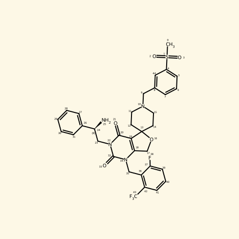 CS(=O)(=O)c1cccc(CN2CCC3(CC2)OCc2c3c(=O)n(C[C@H](N)c3ccccc3)c(=O)n2Cc2c(F)cccc2C(F)(F)F)c1